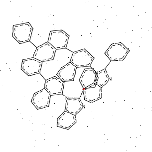 c1ccc(-c2c3cccc(-c4ccc(-n5c(-c6ccccc6)nc6ccccc65)c5ccccc45)c3cc3c(-c4ccc(-n5c(-c6ccccc6)nc6ccccc65)c5ccccc45)cccc23)cc1